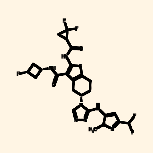 Cn1nc(C(F)F)cc1Nc1nncn1[C@H]1CCc2sc(NC(=O)C3CC3(F)F)c(C(=O)N[C@H]3C[C@H](F)C3)c2C1